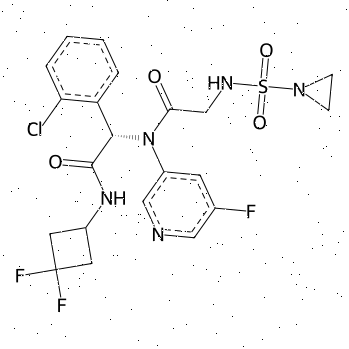 O=C(NC1CC(F)(F)C1)[C@H](c1ccccc1Cl)N(C(=O)CNS(=O)(=O)N1CC1)c1cncc(F)c1